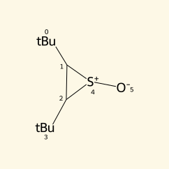 CC(C)(C)C1C(C(C)(C)C)[S+]1[O-]